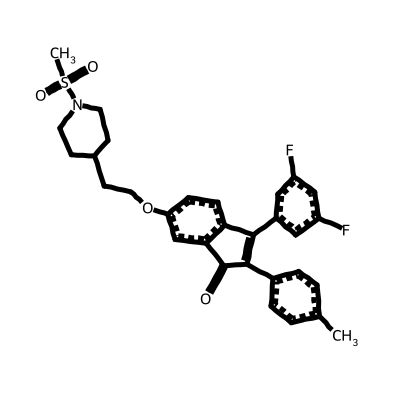 Cc1ccc(C2=C(c3cc(F)cc(F)c3)c3ccc(OCCC4CCN(S(C)(=O)=O)CC4)cc3C2=O)cc1